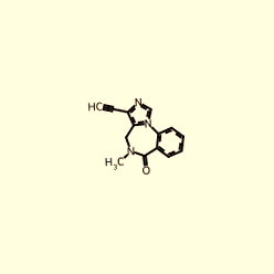 C#Cc1ncn2c1CN(C)C(=O)c1ccccc1-2